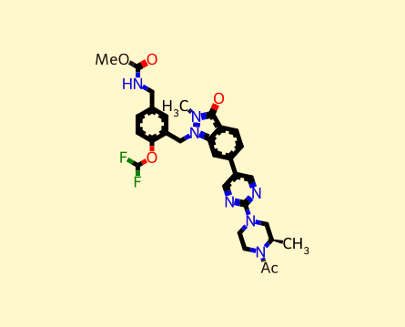 COC(=O)NCc1ccc(OC(F)F)c(Cn2c3cc(-c4cnc(N5CCN(C(C)=O)[C@H](C)C5)nc4)ccc3c(=O)n2C)c1